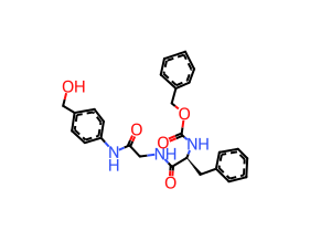 O=C(CNC(=O)[C@H](Cc1ccccc1)NC(=O)OCc1ccccc1)Nc1ccc(CO)cc1